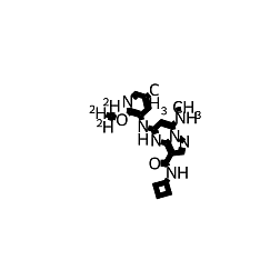 [2H]C([2H])([2H])Oc1ncc(C)cc1Nc1cc(NC)n2ncc(C(=O)NC3CCC3)c2n1